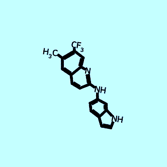 Cc1cc2ccc(Nc3ccc4cc[nH]c4c3)nc2cc1C(F)(F)F